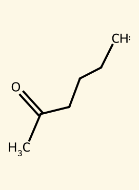 [CH]CCCC(C)=O